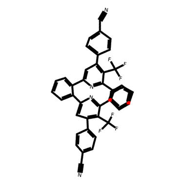 N#Cc1ccc(-c2cc(-c3ccccc3-c3cc(-c4ccc(C#N)cc4)c(C(F)(F)F)c(-c4ccccc4)n3)nc(-c3ccccc3)c2C(F)(F)F)cc1